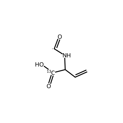 C=CC(N[C]=O)[13C](=O)O